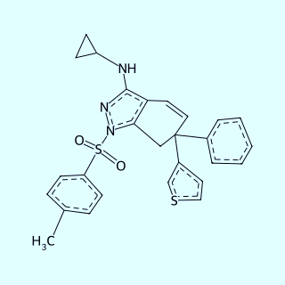 Cc1ccc(S(=O)(=O)n2nc(NC3CC3)c3c2CC(c2ccccc2)(c2ccsc2)C=C3)cc1